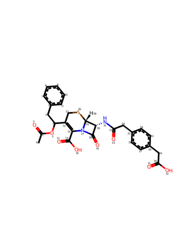 CC(=O)OC(Cc1ccccc1)C1=C(C(=O)O)N2C(=O)[C@@H](NC(=O)Cc3ccc(CC(=O)O)cc3)[C@H]2SC1